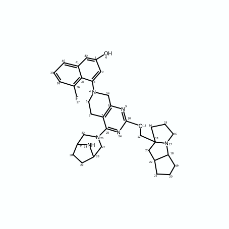 Oc1cc(N2CCc3c(nc(OCC45CCCN4C4CCCC4C5)nc3N3CC4CCC(C3)N4)C2)c2c(F)cccc2c1